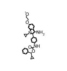 COCCOc1ccc2c(N)c(-c3ccc(NC(=O)OC(c4ccccc4)C4CC4)cc3)n(C3CC3)c2c1